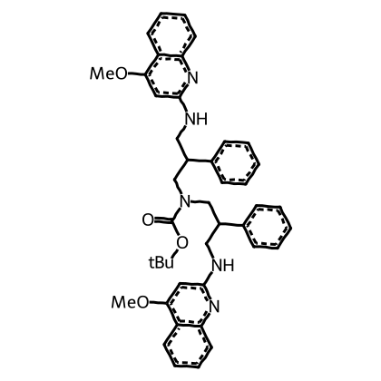 COc1cc(NCC(CN(CC(CNc2cc(OC)c3ccccc3n2)c2ccccc2)C(=O)OC(C)(C)C)c2ccccc2)nc2ccccc12